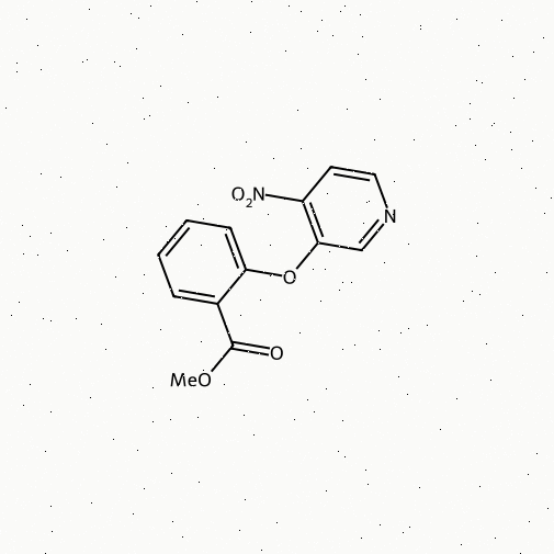 COC(=O)c1ccccc1Oc1cnccc1[N+](=O)[O-]